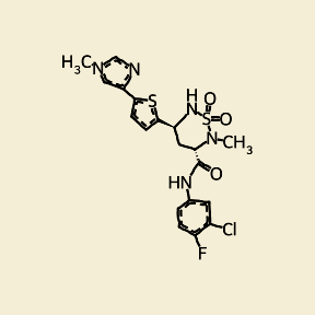 CN1[C@H](C(=O)Nc2ccc(F)c(Cl)c2)C[C@@H](c2ccc(-c3cn(C)cn3)s2)NS1(=O)=O